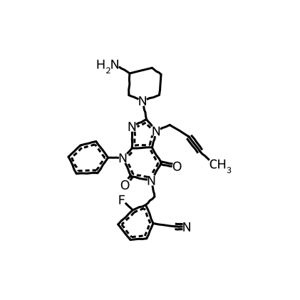 CC#CCn1c(N2CCCC(N)C2)nc2c1c(=O)n(Cc1c(F)cccc1C#N)c(=O)n2-c1ccccc1